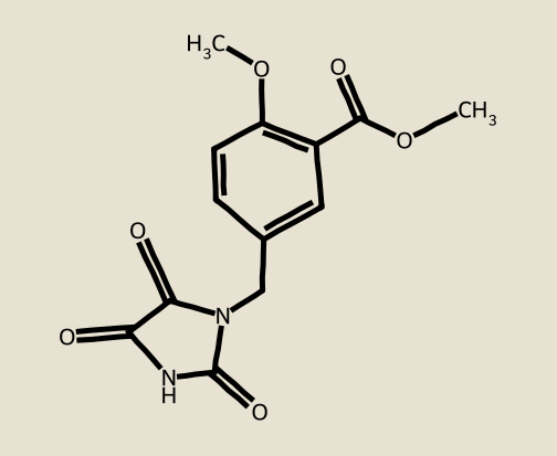 COC(=O)c1cc(CN2C(=O)NC(=O)C2=O)ccc1OC